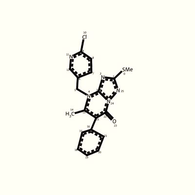 CSc1nc2n(Cc3ccc(Cl)nc3)c(C)c(-c3ccccc3)c(=O)n2n1